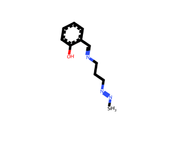 Oc1ccccc1C=NCCCN=N[SiH3]